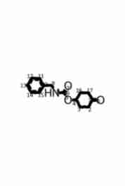 O=C1CCC(OC(=O)NCc2ccccc2)CC1